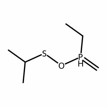 C=[PH](CC)OSC(C)C